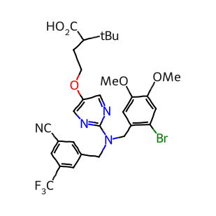 COc1cc(Br)c(CN(Cc2cc(C#N)cc(C(F)(F)F)c2)c2ncc(OCCC(C(=O)O)C(C)(C)C)cn2)cc1OC